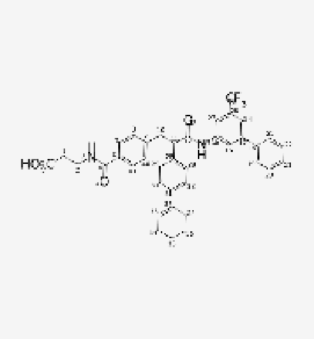 O=C(O)CCNC(=O)c1ccc(CC(C(=O)Nc2cc(-c3ccccc3)cc(C(F)(F)F)c2)c2ccc(C3=CCCCC3)cc2)cc1